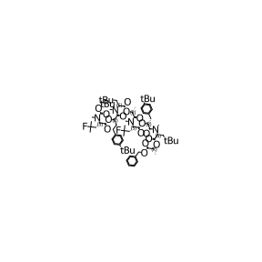 C[C@@H](OC(=O)[C@H](CC(C)(C)C)N(C)C(=O)[C@@H](Cc1ccc(C(C)(C)C)cc1)OC(=O)[C@H](CC(C)(C)F)N(C)C(=O)[C@@H](C)OC(=O)[C@H](CC(C)(C)C)N(C)C(=O)[C@@H](CCc1ccc(C(C)(C)C)cc1)OC(=O)[C@H](CC(C)(C)F)N(C)C(=O)OC(C)(C)C)C(=O)OCc1ccccc1